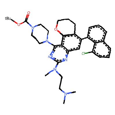 CN(C)CCN(C)c1nc(N2CCN(C(=O)OC(C)(C)C)CC2)c2c3c(c(-c4cccc5cccc(Cl)c45)cc2n1)CCCO3